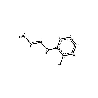 CCCC=COc1ccccc1C